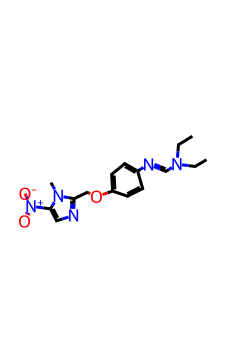 CCN(C=Nc1ccc(OCc2ncc([N+](=O)[O-])n2C)cc1)CC